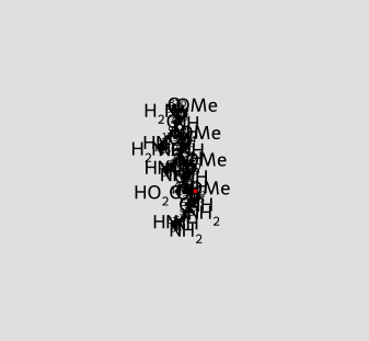 COc1ccc(NC(=O)[C@H](CCCCNC(=N)N)NC(=O)c2cc(NC(=O)[C@H](CCCNC(=N)N)NC(=O)c3cc(NC(=O)[C@H](CCC(=O)O)NC(=O)c4cc(NC(=O)[C@@H](N)CCCNC(=N)N)ccc4OC)ccc3OC)ccc2OC)cc1C(N)=O